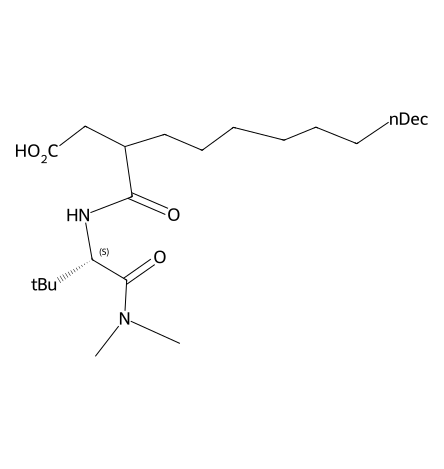 CCCCCCCCCCCCCCCCC(CC(=O)O)C(=O)N[C@H](C(=O)N(C)C)C(C)(C)C